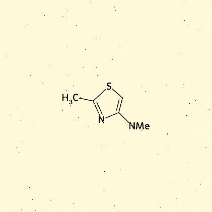 CNc1csc(C)n1